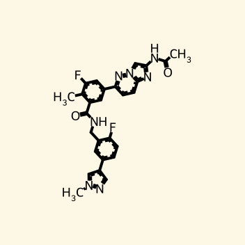 CC(=O)Nc1cn2nc(-c3cc(F)c(C)c(C(=O)NCc4cc(-c5cnn(C)c5)ccc4F)c3)ccc2n1